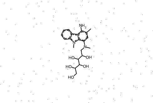 Cc1cc(N(C)CC(O)C(O)C(O)C(O)CO)c2c(c1N)c1ccccc1n2C